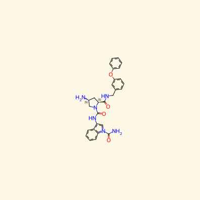 NC(=O)n1cc(NC(=O)N2C[C@@H](N)C[C@H]2C(=O)NCc2cccc(Oc3ccccc3)c2)c2ccccc21